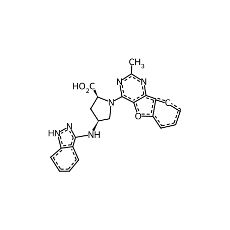 Cc1nc(N2C[C@@H](Nc3n[nH]c4ccccc34)C[C@H]2C(=O)O)c2oc3ccccc3c2n1